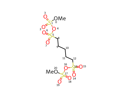 COS(=O)(=O)OS(=O)(=O)CCCCCS(=O)(=O)OS(=O)(=O)OC